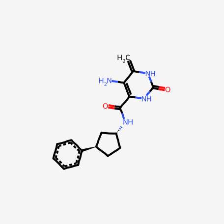 C=C1NC(=O)NC(C(=O)N[C@@H]2CC[C@@H](c3ccccc3)C2)=C1N